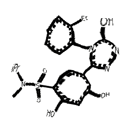 CCc1ccccc1-n1c(O)nnc1-c1cc(S(=O)(=O)N(C)C(C)C)c(O)cc1O